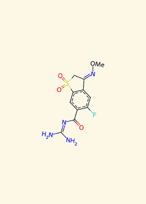 CON=C1CS(=O)(=O)c2cc(C(=O)N=C(N)N)c(F)cc21